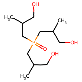 CC(CO)CP(=O)(CC(C)CO)CC(C)CO